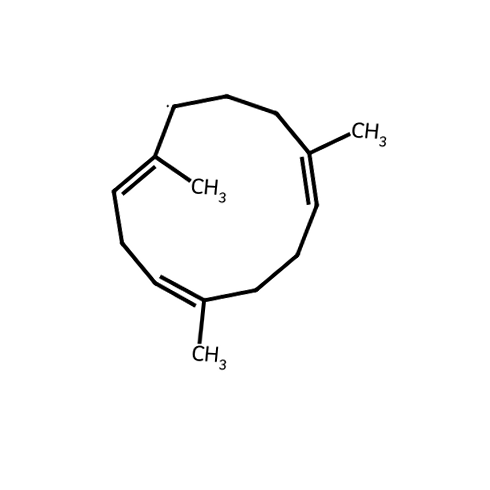 C/C1=C/CC/C(C)=C\C/C=C(\C)[CH]CC1